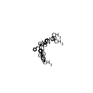 C[C@@H]1CN(c2ccc3nc(NC(=O)[C@H](CC4CCCC4)c4ccc(S(=O)(=O)N5CCN(C)CC5)cc4)sc3n2)C[C@H](C)O1